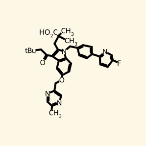 Cc1cnc(COc2ccc3c(c2)c(C(=O)CC(C)(C)C)c(CC(C)(C)C(=O)O)n3Cc2ccc(-c3ccc(F)cn3)cc2)cn1